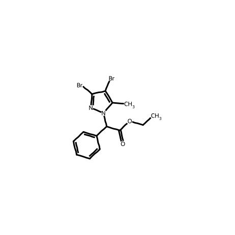 CCOC(=O)C(c1ccccc1)n1nc(Br)c(Br)c1C